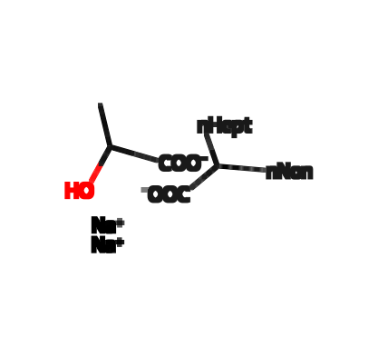 CC(O)C(=O)[O-].CCCCCCCCCC(CCCCCCC)C(=O)[O-].[Na+].[Na+]